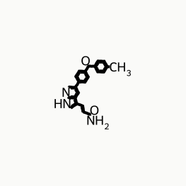 Cc1ccc(C(=O)c2ccc(-c3cnc4[nH]cc(/C=C/C(N)=O)c4c3)cc2)cc1